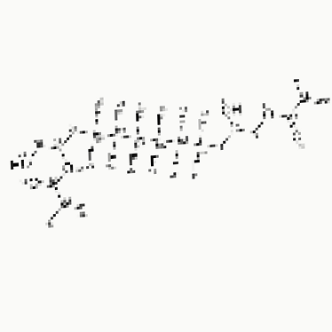 C=C(C)C(=O)OCC(O)CC(F)(F)C(F)(F)C(F)(F)C(F)(F)C(F)(F)C(F)(F)CC(CO)OC(=O)C(=C)C